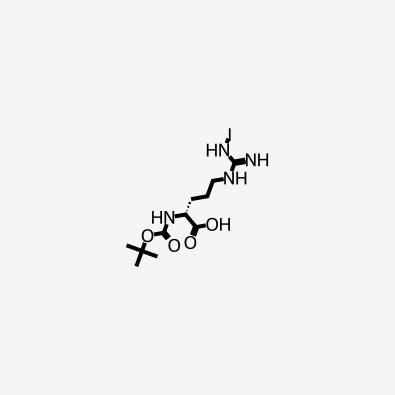 CC(C)(C)OC(=O)N[C@H](CCCNC(=N)NI)C(=O)O